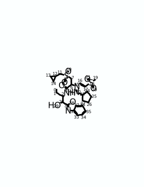 CCC(NC(=O)C(CS(=O)(=O)CC1CC1)N(/C=C/S(C)(=O)=O)NC1CCCC1)C(O)c1nc2ccccc2o1